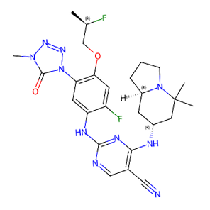 C[C@@H](F)COc1cc(F)c(Nc2ncc(C#N)c(N[C@@H]3C[C@H]4CCCN4C(C)(C)C3)n2)cc1-n1nnn(C)c1=O